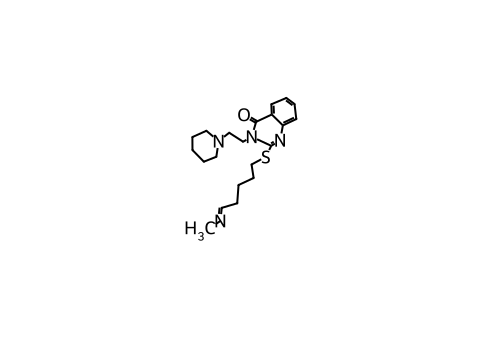 C/N=C/CCCCSc1nc2ccccc2c(=O)n1CCN1CCCCC1